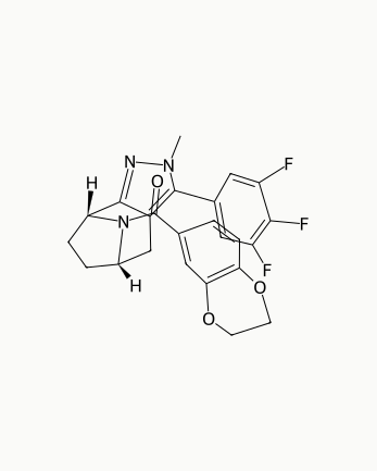 Cn1nc2c(c1-c1cc(F)c(F)c(F)c1)C[C@@H]1CC[C@H]2N1C(=O)c1ccc2c(c1)OCCO2